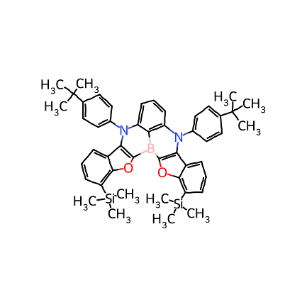 CC(C)(C)c1ccc(N2c3cccc4c3B(c3oc5c([Si](C)(C)C)cccc5c32)c2oc3c([Si](C)(C)C)cccc3c2N4c2ccc(C(C)(C)C)cc2)cc1